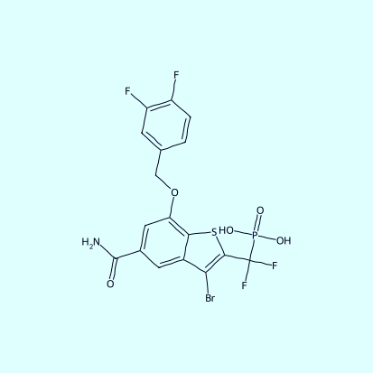 NC(=O)c1cc(OCc2ccc(F)c(F)c2)c2sc(C(F)(F)P(=O)(O)O)c(Br)c2c1